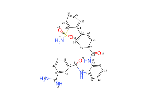 N=C(N)c1cccc(C(=O)Nc2ccccc2NC(=O)c2ccc(-c3ccccc3S(N)(=O)=O)cc2)c1